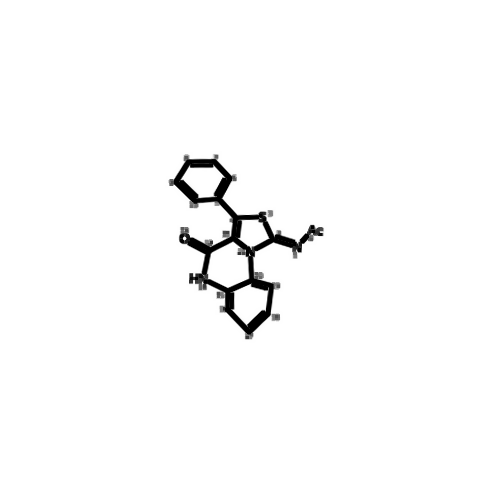 CC(=O)/N=c1\sc(-c2ccccc2)c2c(=O)[nH]c3ccccc3n12